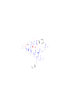 CC(=O)N1CCCN(c2nc(NCCc3cccs3)nc(N3CCC(N(C)Cc4ccc5c(c4)C(=O)N(N4CCC(=O)NC4=O)C5=O)CC3)n2)CC1